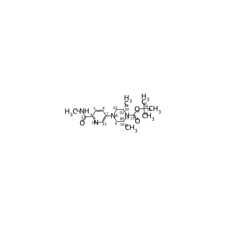 CNC(=O)c1ccc(N2C[C@@H](C)N(C(=O)OC(C)(C)C)[C@@H](C)C2)cn1